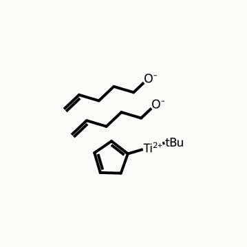 C=CCCC[O-].C=CCCC[O-].C[C](C)(C)[Ti+2][C]1=CC=CC1